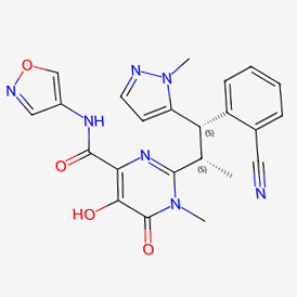 C[C@H](c1nc(C(=O)Nc2cnoc2)c(O)c(=O)n1C)[C@@H](c1ccccc1C#N)c1ccnn1C